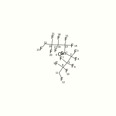 [O]=[Sn]([C](F)(F)C(F)(F)C(F)(F)CF)[C](F)(F)C(F)(F)C(F)(F)CF